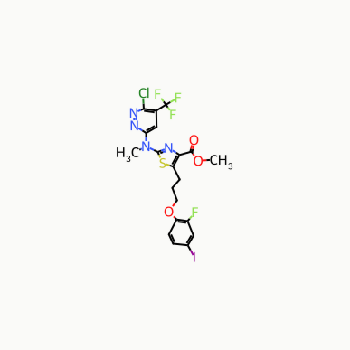 COC(=O)c1nc(N(C)c2cc(C(F)(F)F)c(Cl)nn2)sc1CCCOc1ccc(I)cc1F